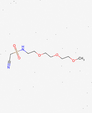 COCCOCCOCCNS(=O)(=O)CC#N